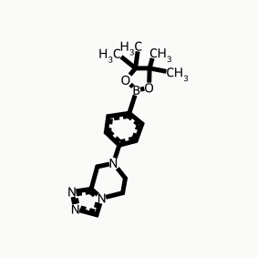 CC1(C)OB(c2ccc(N3CCn4cnnc4C3)cc2)OC1(C)C